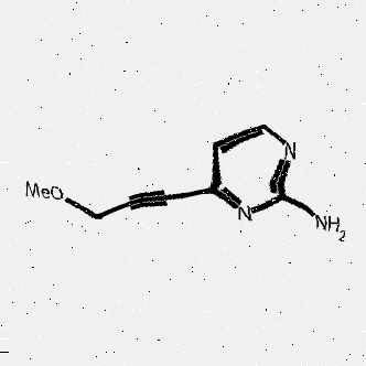 COCC#Cc1ccnc(N)n1